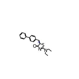 CCN(CC)C1=NC(=O)/C(=C\c2ccc(-c3ccccc3)cc2)S1